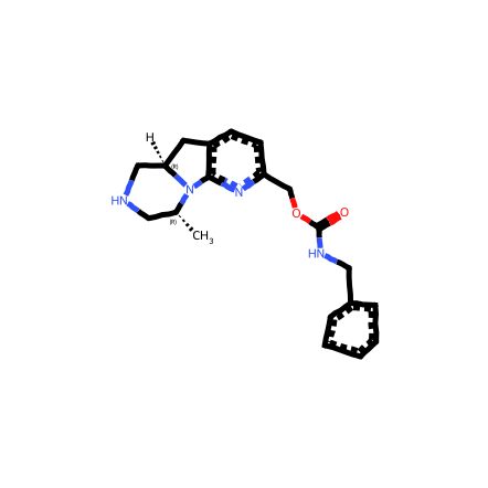 C[C@@H]1CNC[C@H]2Cc3ccc(COC(=O)NCc4ccccc4)nc3N21